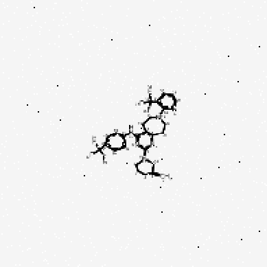 C=C1CCCN(c2nc3c(c(Nc4ccc(C(F)(F)F)cc4)n2)CCN(c2ncccc2C(F)(F)F)CC3)C1